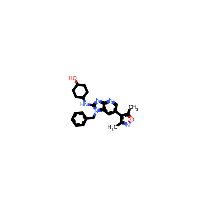 Cc1noc(C)c1-c1cnc2nc(NC3CCC(O)CC3)n(Cc3ccccc3)c2c1